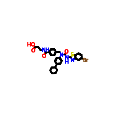 O=C(O)CCNC(=O)c1ccc(CN(C(=O)Nc2nc3cc(Br)ccc3s2)c2ccc(C3=CCCCC3)cc2)cc1